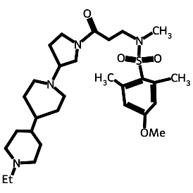 CCN1CCC(C2CCN(C3CCN(C(=O)CCN(C)S(=O)(=O)c4c(C)cc(OC)cc4C)C3)CC2)CC1